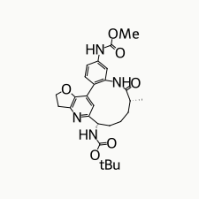 COC(=O)Nc1ccc2c(c1)NC(=O)[C@H](C)CCC[C@H](NC(=O)OC(C)(C)C)c1cc-2c2c(n1)CCO2